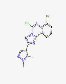 Cc1c(-c2nc3c4cccc(Br)c4nc(Cl)n3n2)cnn1C